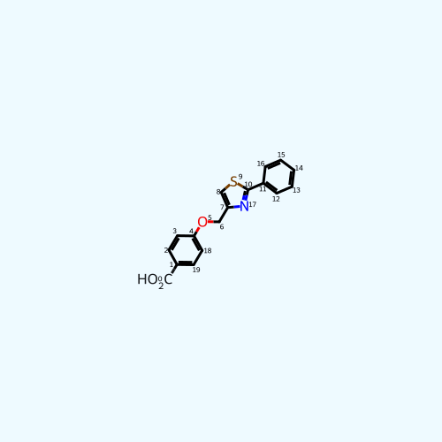 O=C(O)c1ccc(OCc2csc(-c3ccccc3)n2)cc1